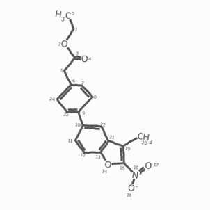 CCOC(=O)Cc1ccc(-c2ccc3oc([N+](=O)[O-])c(C)c3c2)cc1